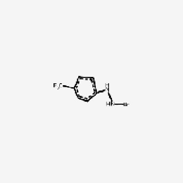 FC(F)(F)c1ccc(NNBr)cc1